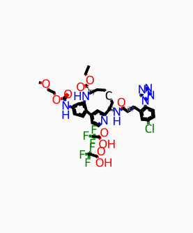 CCOC(=O)[C@@H]1CCCC[C@H](NC(=O)/C=C/c2cc(Cl)ccc2-n2cnnn2)c2cc(ccn2)-c2ccc(NC(=O)OCCOC)cc2N1.O=C(O)C(F)(F)F.O=C(O)C(F)(F)F